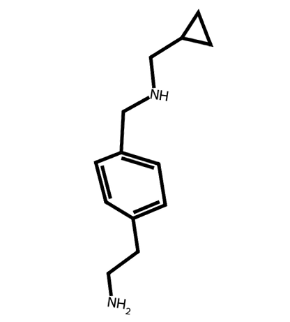 NCCc1ccc(CNCC2CC2)cc1